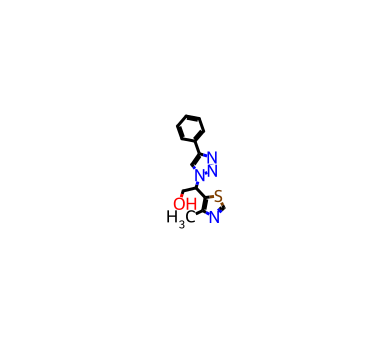 Cc1ncsc1C(CO)n1cc(-c2ccccc2)nn1